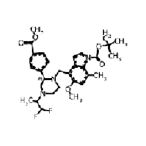 COC(=O)c1ccc([C@@H]2CN(C(C)C(F)F)CCN2Cc2c(OC)cc(C)c3c2ccn3C(=O)OC(C)(C)C)cc1